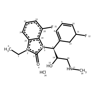 CCn1c(=O)n([C@@H](C2=CC=CC(F)C2)C(O)CNC)c2c(F)cccc21.Cl